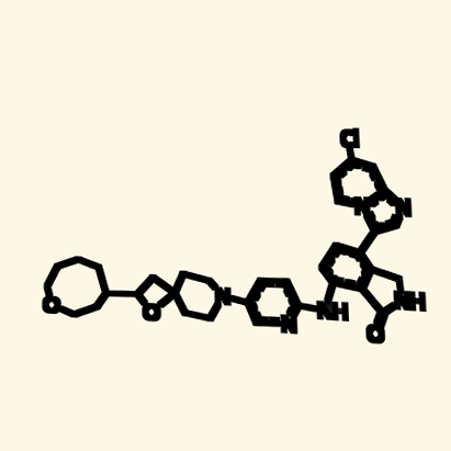 O=C1NCc2c(-c3cnc4cc(Cl)ccn34)ccc(Nc3ccc(N4CCC5(CC4)CC(C4CCCCOCC4)O5)cn3)c21